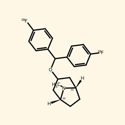 CN1[C@@H]2CC[C@H]1CC(OC(c1ccc([18F])cc1)c1ccc([18F])cc1)C2